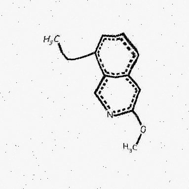 CCc1cccc2cc(OC)ncc12